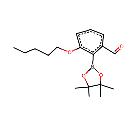 CCCCCOc1cccc(C=O)c1B1OC(C)(C)C(C)(C)O1